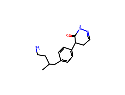 CC(CCN)Cc1ccc(C2CC=NNC2=O)cc1